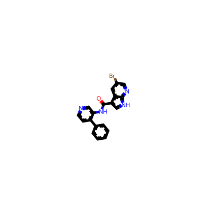 O=C(Nc1cnccc1-c1ccccc1)c1c[nH]c2ncc(Br)cc12